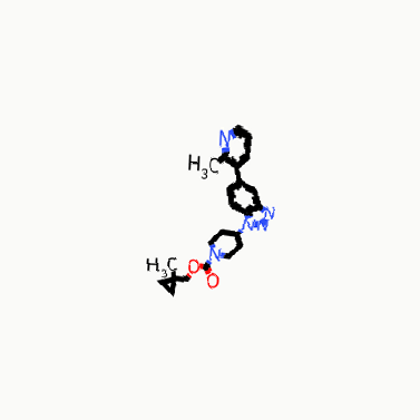 Cc1ncccc1-c1ccc2c(c1)nnn2C1CCN(C(=O)OCC2(C)CC2)CC1